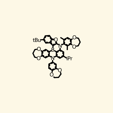 Cc1cc2c(c(C)c1N1c3cc(C(C)C)cc4c3B(c3cc5c(cc3N4c3ccc4c(c3)OCCCO4)OCCCO5)c3c1oc1ccc(C(C)(C)C)cc31)OCCCO2